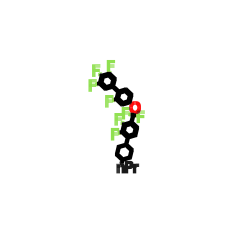 CCCC1CCC(c2ccc(C(F)(F)Oc3ccc(-c4cc(F)c(F)c(F)c4)c(F)c3)c(F)c2F)CC1